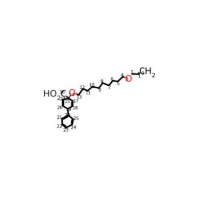 C=CCOCCCCCCCCCCOC1(C(=O)O)C=CC(c2ccccc2)C=C1